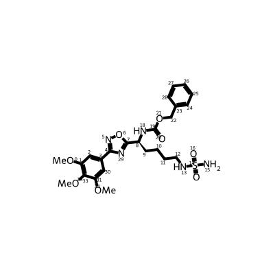 COc1cc(-c2noc([C@H](CCCCNS(N)(=O)=O)NC(=O)OCc3ccccc3)n2)cc(OC)c1OC